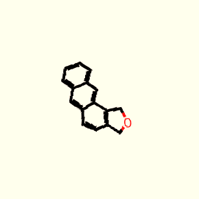 c1ccc2cc3c4c(ccc3cc2c1)COC4